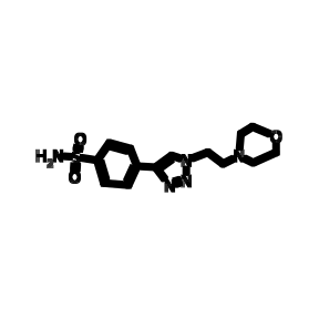 NS(=O)(=O)c1ccc(-c2cn(CCN3CCOCC3)nn2)cc1